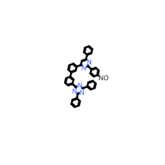 O=Nc1ccc(-c2nc(-c3ccccc3)cc(-c3cccc(-c4cccc(-c5nc(-c6ccccc6)nc(-c6ccccc6)n5)c4)c3)n2)cc1